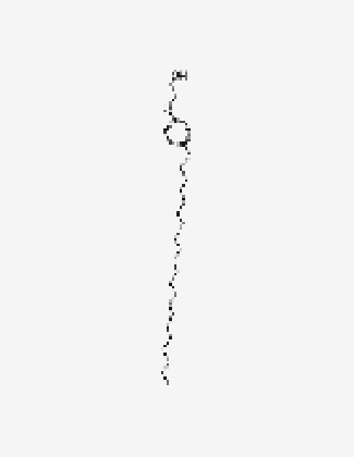 CCCCCCCCCCCCCCCCCCCCCc1ccc(OCCO)cc1